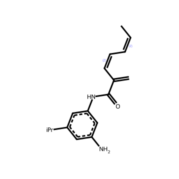 C=C(/C=C\C=C/C)C(=O)Nc1cc(N)cc(C(C)C)c1